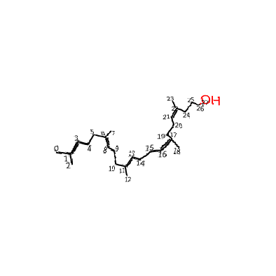 CC(C)=CCCC(C)=CCCC(C)=CCCC=C(C)CCC=C(C)CC[CH]O